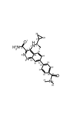 C[C@@H](Nc1c(C(N)=O)nnc2cc(-c3ccc(C(=O)N(C)C)cc3)ccc12)C1CC1